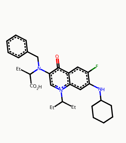 CCC(C(=O)O)N(Cc1ccccc1)c1cn(C(CC)CC)c2cc(NC3CCCCC3)c(F)cc2c1=O